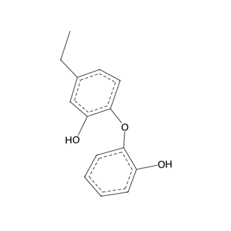 CCc1ccc(Oc2ccccc2O)c(O)c1